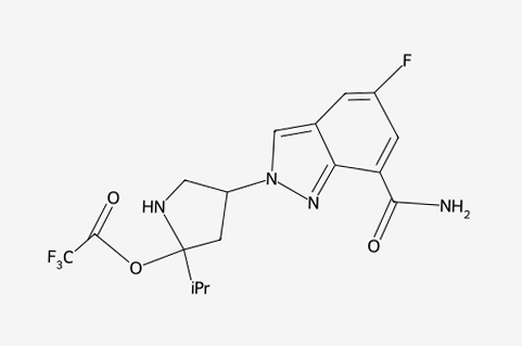 CC(C)C1(OC(=O)C(F)(F)F)CC(n2cc3cc(F)cc(C(N)=O)c3n2)CN1